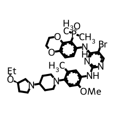 CCO[C@@H]1CCN(C2CCN(c3cc(OC)c(Nc4ncc(Br)c(Nc5ccc6c(c5P(C)(C)=O)OCCO6)n4)cc3C)CC2)C1